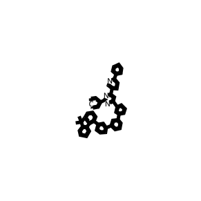 CC1(C)c2ccccc2-c2c(-c3cccc(-c4cccc(-c5cccc(-c6cc(-c7ccc(-c8ccccc8)nc7)nc(-c7ccccc7)n6)c5)c4)c3)cccc21